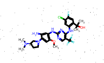 COc1cc(N2CC[C@@H](N(C)C)C2)c(N)cc1Nc1ncc(C(F)(F)F)c(Nc2cc(Cl)c(F)cc2C(C)(C)O)n1